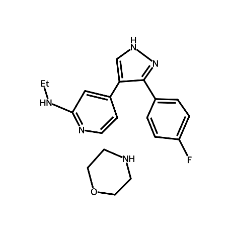 C1COCCN1.CCNc1cc(-c2c[nH]nc2-c2ccc(F)cc2)ccn1